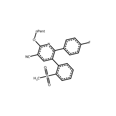 CCCCCOc1nc(-c2ccc(F)cc2)c(-c2ccccc2S(C)(=O)=O)cc1C#N